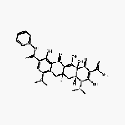 CN(C)c1cc(C(=O)Nc2ccccc2)c(O)c2c1C[C@H]1C[C@H]3[C@H](N(C)C)C(O)=C(C(N)=O)C(=O)[C@@]3(O)C(O)=C1C2=O